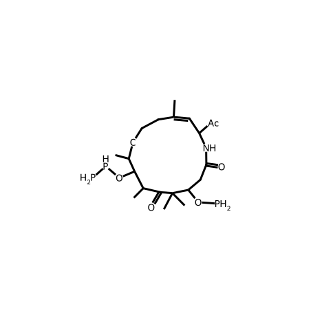 CC(=O)C1/C=C(/C)CCCC(C)C(OPP)C(C)C(=O)C(C)(C)C(OP)CC(=O)N1